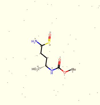 CC(C)(C)OC(=O)N[C@@H](CCC(N)[S+]=O)C(=O)O